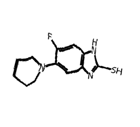 Fc1cc2[nH]c(S)nc2cc1N1CCCCC1